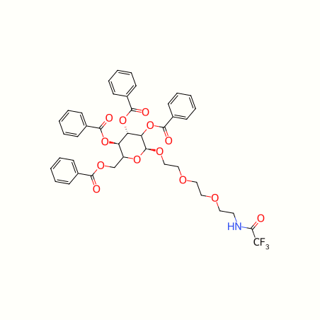 O=C(OCC1O[C@H](OCCOCCOCCNC(=O)C(F)(F)F)C(OC(=O)c2ccccc2)[C@@H](OC(=O)c2ccccc2)[C@@H]1OC(=O)c1ccccc1)c1ccccc1